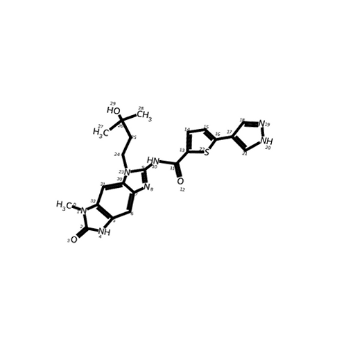 Cn1c(=O)[nH]c2cc3nc(NC(=O)c4ccc(-c5cn[nH]c5)s4)n(CCC(C)(C)O)c3cc21